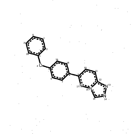 c1ccc(Oc2ccc(-c3ccc4nncn4n3)cc2)cc1